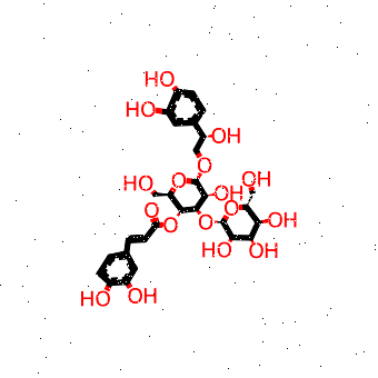 O=C(/C=C/c1ccc(O)c(O)c1)O[C@H]1[C@H](O[C@@H]2O[C@H](CO)[C@@H](O)[C@H](O)[C@H]2O)[C@@H](O)[C@H](OC[C@@H](O)c2ccc(O)c(O)c2)O[C@@H]1CO